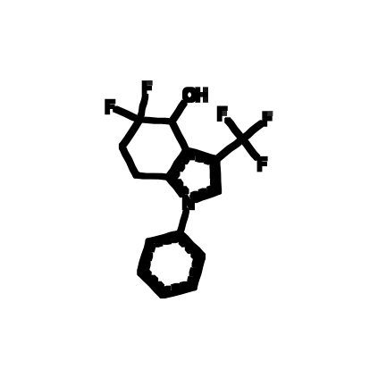 OC1c2c(C(F)(F)F)cn(-c3ccccc3)c2CCC1(F)F